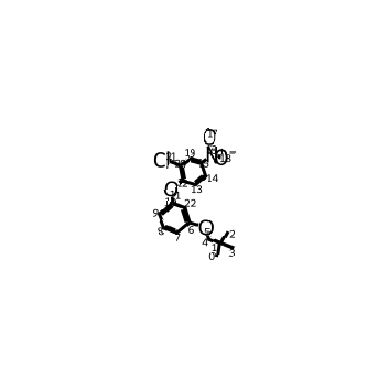 CC(C)(C)COc1cccc(Oc2ccc([N+](=O)[O-])cc2Cl)c1